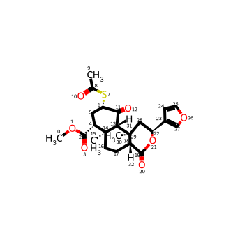 COC(=O)[C@@H]1C[C@H](SC(C)=O)C(=O)[C@H]2[C@@]1(C)CC[C@H]1C(=O)O[C@H](c3ccoc3)C[C@]21C